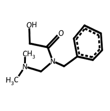 CN(C)CN(Cc1ccccc1)C(=O)CO